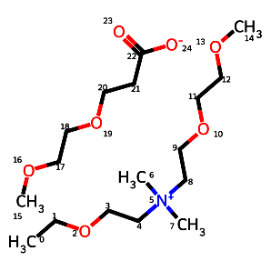 CCOCC[N+](C)(C)CCOCCOC.COCCOCCC(=O)[O-]